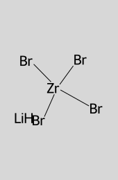 [Br][Zr]([Br])([Br])[Br].[LiH]